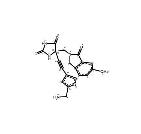 COc1ccc2c(c1)C(=O)N(C[C@@]1(C#Cc3csc(CN)c3)NC(=O)NC1=O)C2